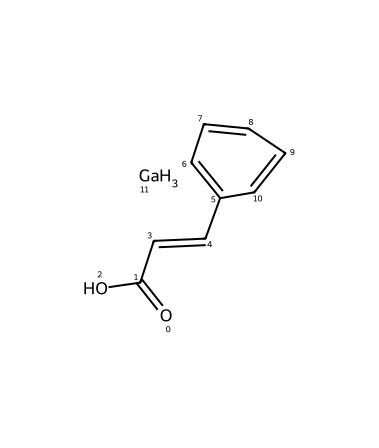 O=C(O)C=Cc1ccccc1.[GaH3]